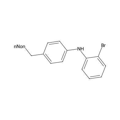 CCCCCCCCCCc1ccc(Nc2ccccc2Br)cc1